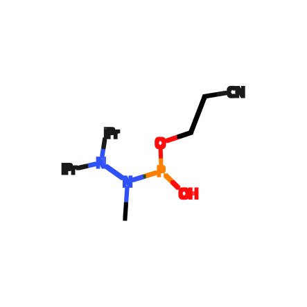 CC(C)N(C(C)C)N(C)P(O)OCCC#N